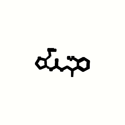 COC[C@H]1OCC[C@H]1OC(=O)OCC(C)c1ccccc1[N+](=O)[O-]